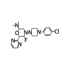 CN(C)C1CN(N2CCN(c3ccc(Cl)cc3)CC2)C(F)C(c2ncccn2)O1